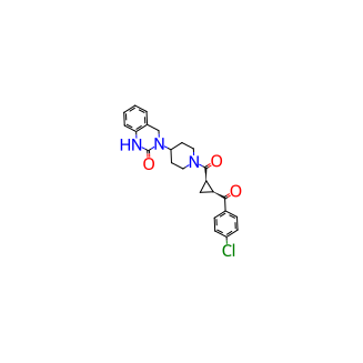 O=C(c1ccc(Cl)cc1)[C@H]1C[C@H]1C(=O)N1CCC(N2Cc3ccccc3NC2=O)CC1